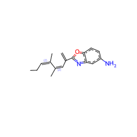 C=C(/C=C(C)\C(C)=C/CC)c1nc2cc(N)ccc2o1